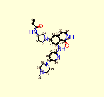 C=CC(=O)NC1CCN(c2cc(Nc3ccc(N4CCN(C)CC4)cn3)c3c(=O)[nH]ccc3c2)C1